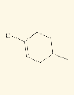 C[C@@H]1CC=C(Cl)CC1